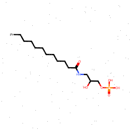 CC(C)CCCCCCCCCCC(=O)NCC(O)COP(=O)(O)O